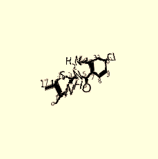 Cc1nc(NC(=O)c2ccc(Cl)cc2N)sc1C